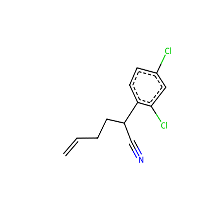 C=CCCC(C#N)c1ccc(Cl)cc1Cl